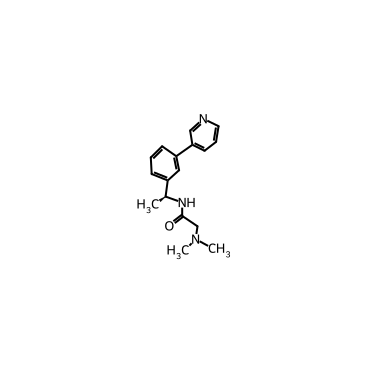 C[C@H](NC(=O)CN(C)C)c1cccc(-c2cccnc2)c1